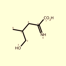 CC(CO)CC(=N)C(=O)O